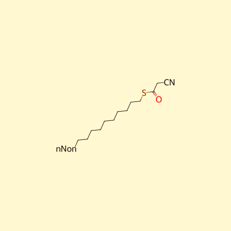 CCCCCCCCCCCCCCCCCCCSC(=O)CC#N